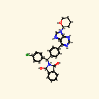 O=C1c2ccccc2C(=O)N1C(c1ccc(Cl)cc1)c1ccc(-c2ncnc3c2ncn3C2CCCCO2)cc1